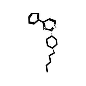 CCCCC[C@H]1CC[C@H](c2nccc(-c3ccccc3)n2)CC1